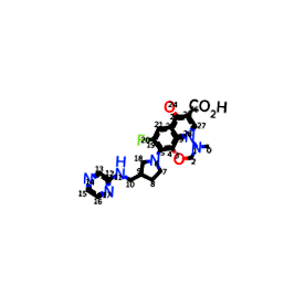 CN1COc2c(N3CCC(CNc4cnccn4)C3)c(F)cc3c(=O)c(C(=O)O)cn1c23